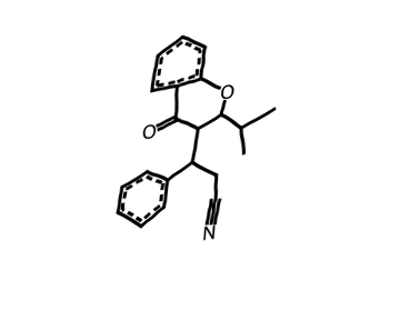 CC(C)C1Oc2ccccc2C(=O)C1C(CC#N)c1ccccc1